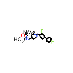 CNC(=O)CN(CC1CCN(Cc2ccc(-c3ccc(F)cc3)cc2F)CC1)C(=O)O